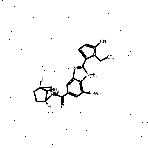 CCn1c(-c2ccc(C#N)n2CC(F)(F)F)nc2cc(C(=O)N3C[C@H]4CC[C@@H]3[C@@H]4N)cc(OC)c21